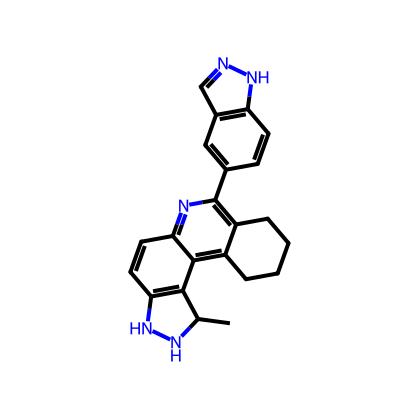 CC1NNc2ccc3nc(-c4ccc5[nH]ncc5c4)c4c(c3c21)CCCC4